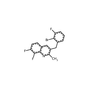 Cc1nc2c(F)c(F)ccc2cc1Cc1cccc(F)c1Br